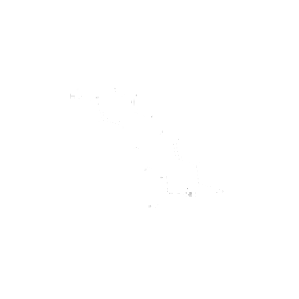 O=C1CC2=C/C(=C/c3ccc(O)cc3)CC=C2C(=O)N1